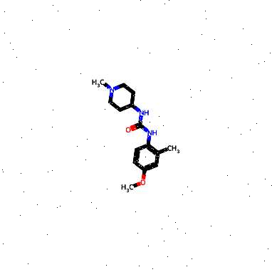 COc1ccc(NC(=O)NC2CCN(C)CC2)c(C)c1